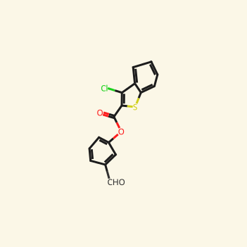 O=Cc1cccc(OC(=O)c2sc3ccccc3c2Cl)c1